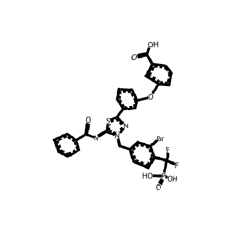 O=C(O)c1cccc(Oc2cccc(-c3nn(Cc4ccc(C(F)(F)P(=O)(O)O)c(Br)c4)/c(=N/C(=O)c4ccccc4)s3)c2)c1